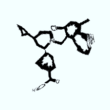 Cc1cc(Cl)c(CN2CCC(C3CC3)C[C@H]2c2ccc(C(=O)O)cc2)c2cc[nH]c12